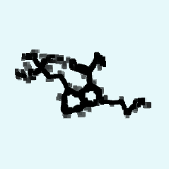 COCCn1cc(C(=O)O)c2c(CCC(C)(C)O)cccc21